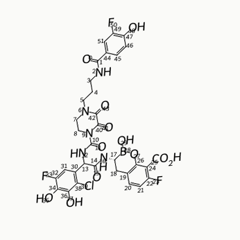 O=C(NCCCN1CCN(C(=O)NC(C(=O)N[C@H]2Cc3ccc(F)c(C(=O)O)c3OB2O)c2cc(F)c(O)c(O)c2Cl)C(=O)C1=O)c1ccc(O)c(F)c1